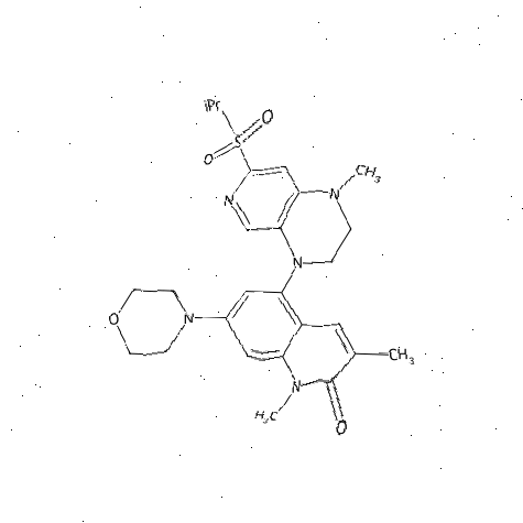 Cc1cc2c(N3CCN(C)c4cc(S(=O)(=O)C(C)C)ncc43)cc(N3CCOCC3)cc2n(C)c1=O